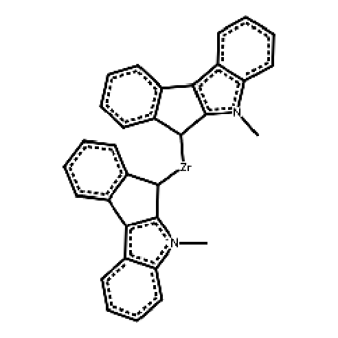 Cn1c2c(c3ccccc31)-c1ccccc1[CH]2[Zr][CH]1c2ccccc2-c2c1n(C)c1ccccc21